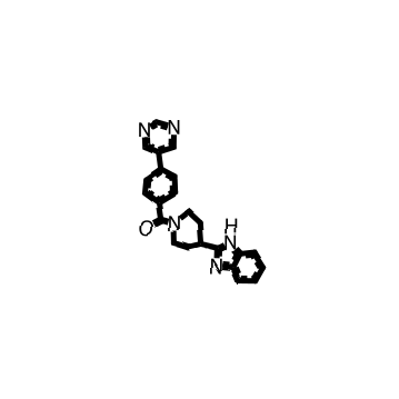 O=C(c1ccc(-c2cncnc2)cc1)N1CCC(c2nc3ccccc3[nH]2)CC1